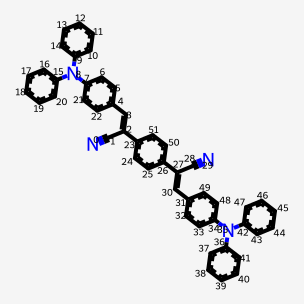 N#CC(=Cc1ccc(N(c2ccccc2)c2ccccc2)cc1)c1ccc(C(C#N)=Cc2ccc(N(c3ccccc3)c3ccccc3)cc2)cc1